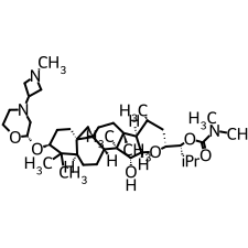 CC(C)[C@@H](OC(=O)N(C)C)[C@H]1C[C@@H](C)[C@H]2[C@H](O1)[C@H](O)[C@@]1(C)[C@@H]3CC[C@H]4C(C)(C)[C@@H](O[C@H]5CN(C6CN(C)C6)CCO5)CC[C@@]45C[C@@]35CC[C@]21C